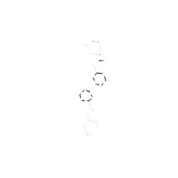 O=C(Nc1cc(-c2cc(F)cc(NCC3CCOCC3)c2)c(Cl)cn1)[C@@H]1CCCNC1